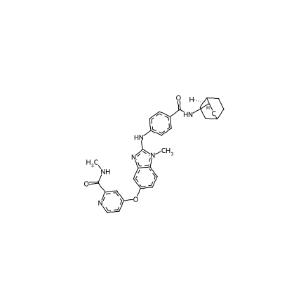 CNC(=O)c1cc(Oc2ccc3c(c2)nc(Nc2ccc(C(=O)N[C@@H]4CC5CCC4CC5)cc2)n3C)ccn1